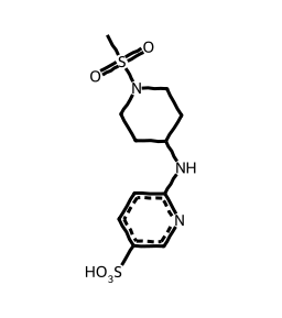 CS(=O)(=O)N1CCC(Nc2ccc(S(=O)(=O)O)cn2)CC1